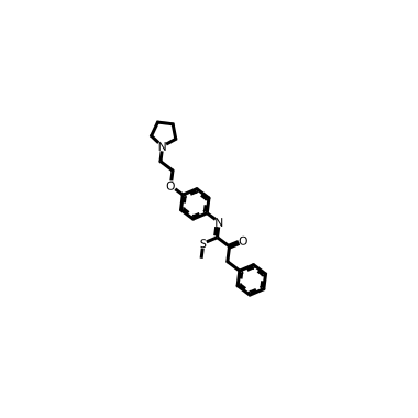 CSC(=Nc1ccc(OCCN2CCCC2)cc1)C(=O)Cc1ccccc1